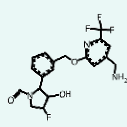 NCc1cc(OCc2cccc(C3C(O)C(F)CN3C=O)c2)nc(C(F)(F)F)c1